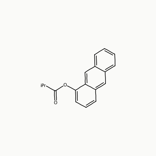 CC(C)C(=O)Oc1cccc2cc3ccccc3cc12